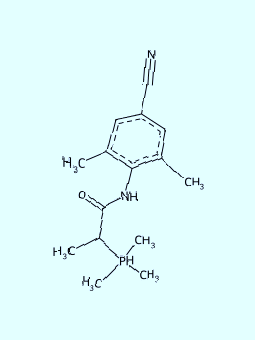 Cc1cc(C#N)cc(C)c1NC(=O)C(C)[PH](C)(C)C